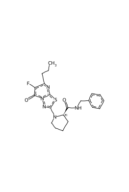 CCCc1nc2sc(N3CCCC[C@@H]3C(=O)NCc3ccccc3)nn2c(=O)c1F